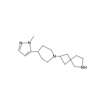 Cn1nccc1C1CCN(C2CC3(CCNC3)C2)CC1